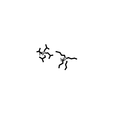 CC(C)C[PH](CC(C)C)(CC(C)C)CC(C)C.CCCC[PH](CCCC)(CCCC)CCCC